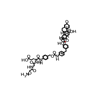 C[C@]12C=CC(=O)C=C1CC[C@@H]1[C@@H]2[C@@H](O)C[C@@]2(C)[C@H]1C[C@H]1O[C@@H](c3ccc(CC45CCC(NC(=O)OCc6ccc(NC(=O)[C@H](CCC(=O)O)NC(=O)CNC(=O)CON)cc6)(CC4)CO5)cc3)O[C@]12C(=O)CO